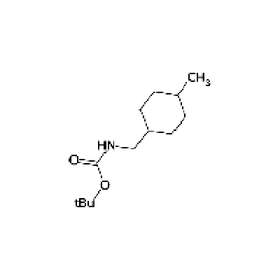 CC1CCC(CNC(=O)OC(C)(C)C)CC1